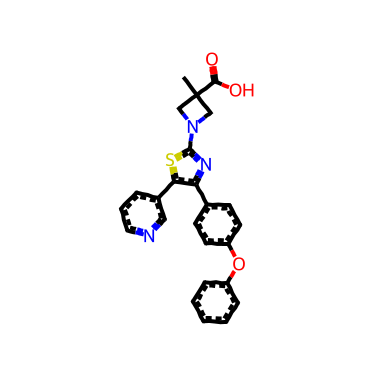 CC1(C(=O)O)CN(c2nc(-c3ccc(Oc4ccccc4)cc3)c(-c3cccnc3)s2)C1